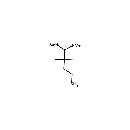 CNC(NC)C(C)(C)CC[SiH3]